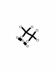 ClC(Cl)(Cl)C(Cl)(Cl)Cl.[O]=[Ti]=[O]